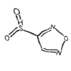 O=[SH](=O)c1cnon1